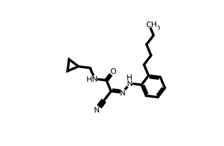 CCCCCc1ccccc1N/N=C(/C#N)C(=O)NCC1CC1